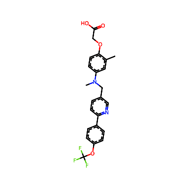 Cc1cc(N(C)Cc2ccc(-c3ccc(OC(F)(F)F)cc3)nc2)ccc1OCC(=O)O